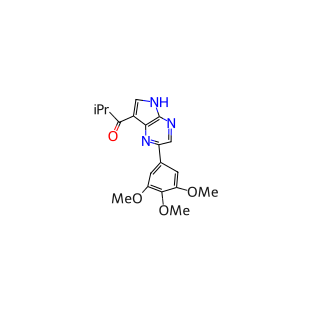 COc1cc(-c2cnc3[nH]cc(C(=O)C(C)C)c3n2)cc(OC)c1OC